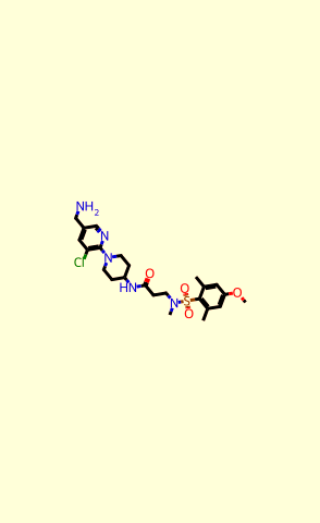 COc1cc(C)c(S(=O)(=O)N(C)CCC(=O)NC2CCN(c3ncc(CN)cc3Cl)CC2)c(C)c1